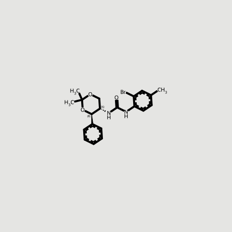 Cc1ccc(NC(=O)N[C@H]2COC(C)(C)O[C@@H]2c2ccccc2)c(Br)c1